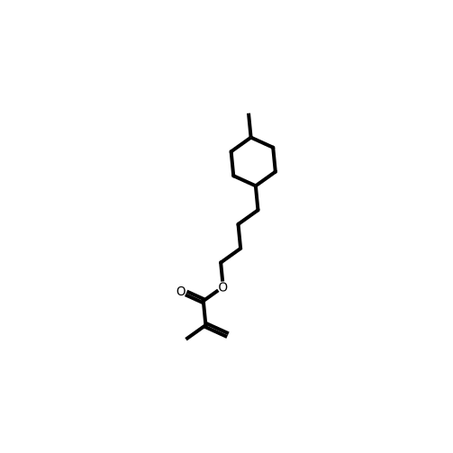 C=C(C)C(=O)OCCCCC1CCC(C)CC1